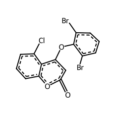 O=c1cc(Oc2c(Br)cccc2Br)c2c(Cl)cccc2o1